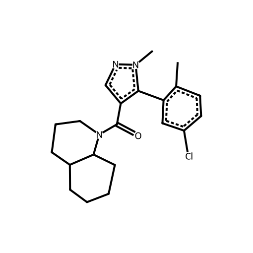 Cc1ccc(Cl)cc1-c1c(C(=O)N2CCCC3CCCCC32)cnn1C